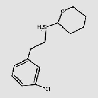 Clc1cccc(CC[SiH2]C2CCCCO2)c1